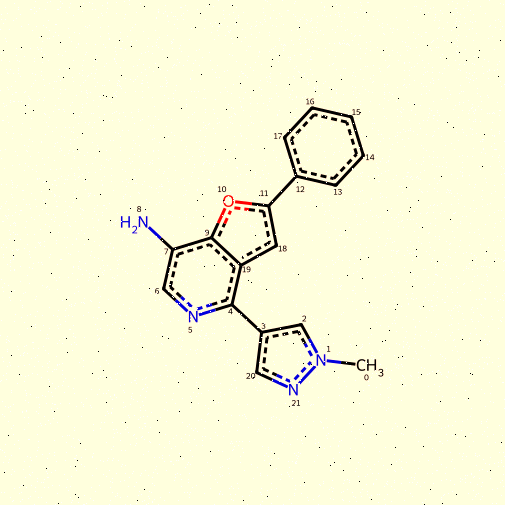 Cn1cc(-c2ncc(N)c3oc(-c4ccccc4)cc23)cn1